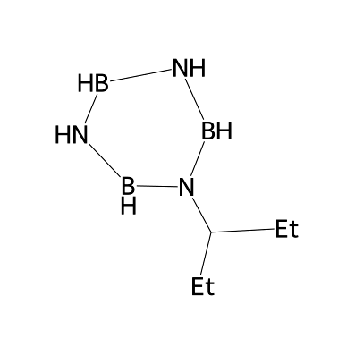 CCC(CC)N1BNBNB1